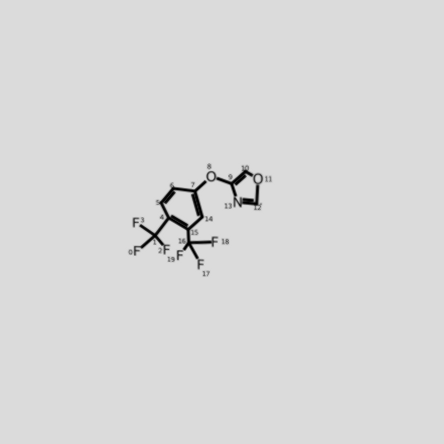 FC(F)(F)c1ccc(Oc2co[c]n2)cc1C(F)(F)F